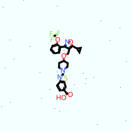 O=C(O)c1ccc2nc(N3CCC(OCc4c(-c5ccccc5OC(F)(F)F)noc4C4CC4)CC3)sc2c1